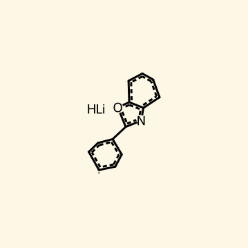 [LiH].[c]1ccc(-c2nc3ccccc3o2)cc1